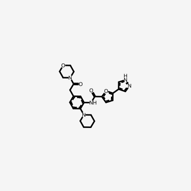 O=C(Nc1cc(CC(=O)N2CCOCC2)ccc1N1CCCCC1)c1ccc(-c2cn[nH]c2)o1